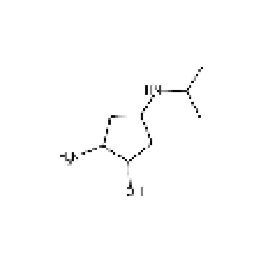 CC(C)NC1CC(N)C(O)C1